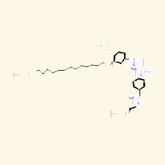 Br.CCCCCCCCCCCCCCOc1cccc(NC(=O)Nc2ccc(CN3C=C(C)SC3)cc2)c1